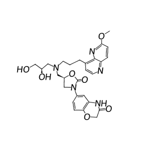 COc1ccc2nccc(CCCN(C[C@@H](O)CO)C[C@@H]3CN(c4ccc5c(c4)NC(=O)CO5)C(=O)O3)c2n1